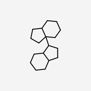 C1CCC2C(C1)CCC2C12CCCCC1CCC2